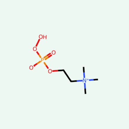 C[N+](C)(C)CCOP(=O)([O-])OO